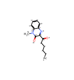 CC(=O)CCCCC(=O)c1nc2ccccc2n(C)c1=O